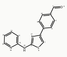 O=Cc1ccc(-c2csc(Nc3ccccn3)n2)cc1